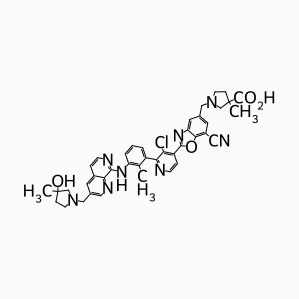 Cc1c(Nc2nccc3cc(CN4CCC(C)(O)C4)cnc23)cccc1-c1nccc(-c2nc3cc(CN4CCC(C)(C(=O)O)C4)cc(C#N)c3o2)c1Cl